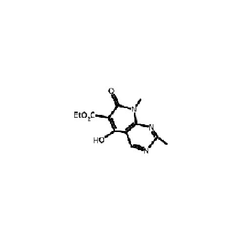 CCOC(=O)c1c(O)c2cnc(C)nc2n(C)c1=O